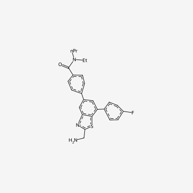 CCCN(CC)C(=O)c1ccc(-c2cc(-c3ccc(F)cc3)c3sc(CN)nc3c2)cc1